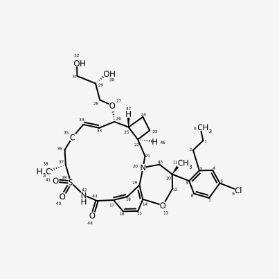 CCCc1cc(Cl)ccc1[C@]1(C)COc2ccc3cc2N(C[C@@H]2CC[C@H]2[C@@H](OC[C@@H](O)CO)/C=C/CC[C@@H](C)S(=O)(=O)NC3=O)C1